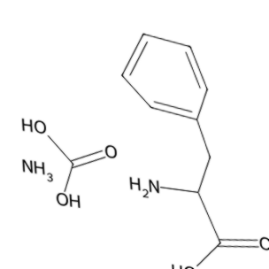 N.NC(Cc1ccccc1)C(=O)O.O=C(O)O